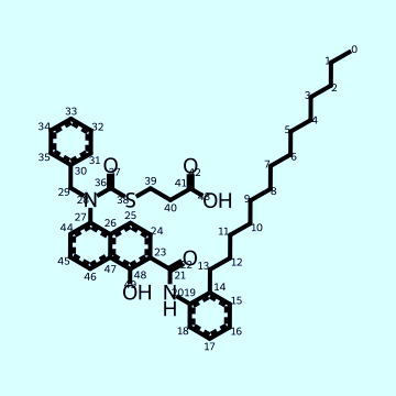 CCCCCCCCCCCCCCc1ccccc1NC(=O)c1ccc2c(N(Cc3ccccc3)C(=O)SCCC(=O)O)cccc2c1O